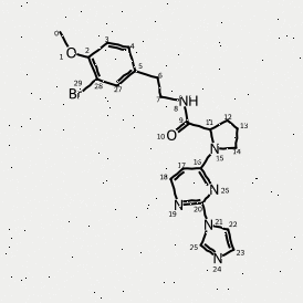 COc1ccc(CCNC(=O)C2CCCN2c2ccnc(-n3ccnc3)n2)cc1Br